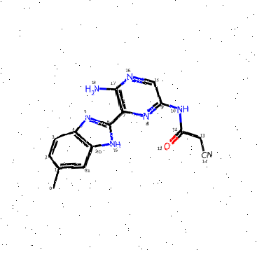 Cc1ccc2nc(-c3nc(NC(=O)CC#N)cnc3N)[nH]c2c1